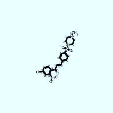 CN1CCN(S(=O)(=O)c2ccc(/C=C/C(=O)c3ccc(Cl)cc3[N+](=O)[O-])cc2)CC1